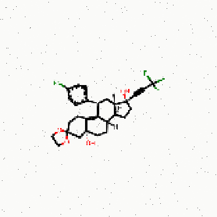 C[C@]12C[C@H](c3ccc(Br)cc3)C3=C4CCC5(C[C@]4(O)CC[C@H]3[C@@H]1CC[C@@]2(O)C#CC(F)(F)F)OCCO5